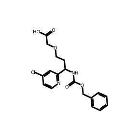 O=C(O)COCCC(NC(=O)OCc1ccccc1)c1cc(Cl)ccn1